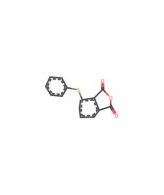 O=C1OC(=O)c2c(Sc3ccccc3)cccc21